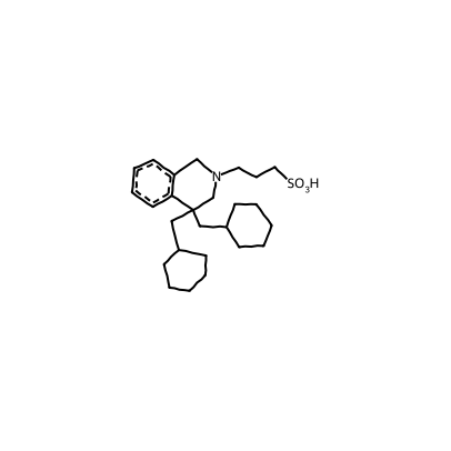 O=S(=O)(O)CCCN1Cc2ccccc2C(CC2CCCCC2)(CC2CCCCC2)C1